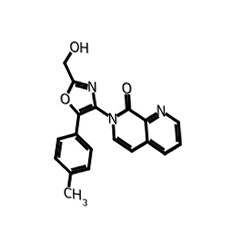 Cc1ccc(-c2oc(CO)nc2-n2ccc3cccnc3c2=O)cc1